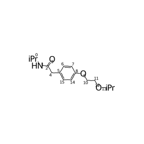 CC(C)NC(=O)Cc1ccc(OCCOC(C)C)cc1